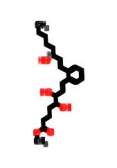 CCCCC[C@@H](O)C=Cc1ccccc1C=CC(O)C(O)CCCC(=O)OC